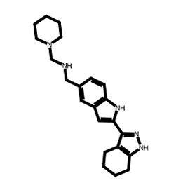 c1cc2[nH]c(-c3n[nH]c4c3CCCC4)cc2cc1CNCN1CCCCC1